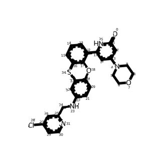 O=c1cc(N2CCOCC2)cc(-c2cccc3c2Oc2ccc(NCc4cc(Cl)ccn4)cc2S3)[nH]1